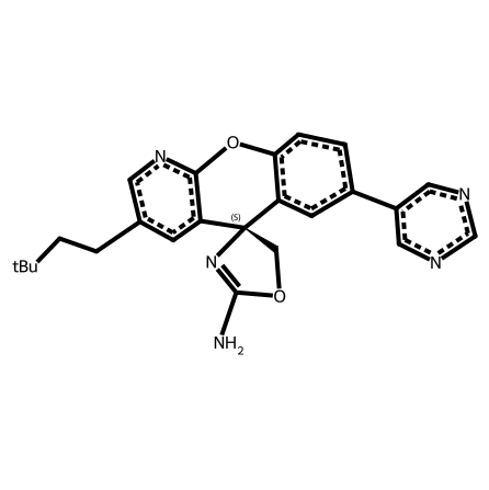 CC(C)(C)CCc1cnc2c(c1)[C@]1(COC(N)=N1)c1cc(-c3cncnc3)ccc1O2